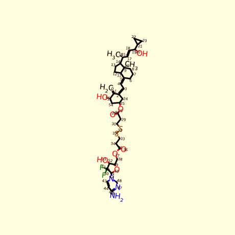 C=C1/C(=C\C=C2/CCC[C@@]3(C)C2CCC3[C@@H](C)/C=C/C(O)C2CC2)CC(OC(=O)CCSSCCC(=O)OCC2OC(N3C=CC(N)=NC3)C(F)(F)C2O)C[C@@H]1O